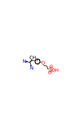 CC(=C(C#N)C#N)c1ccc(OCCCS(=O)(=O)O)cc1